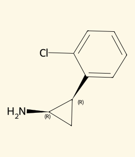 N[C@@H]1C[C@@H]1c1ccccc1Cl